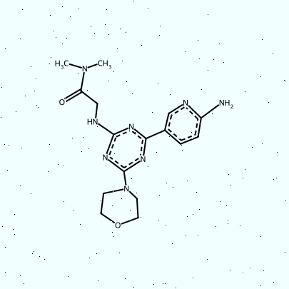 CN(C)C(=O)CNc1nc(-c2ccc(N)nc2)nc(N2CCOCC2)n1